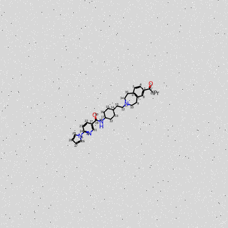 CC(C)C(=O)c1ccc2c(c1)CCN(CCC1CCC(NC(=O)c3ccc(-n4cccc4)nc3)CC1)CC2